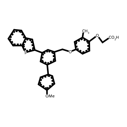 COc1ccc(-c2cc(COc3ccc(OCC(=O)O)c(C)c3)cc(-c3cc4ccccc4s3)c2)cc1